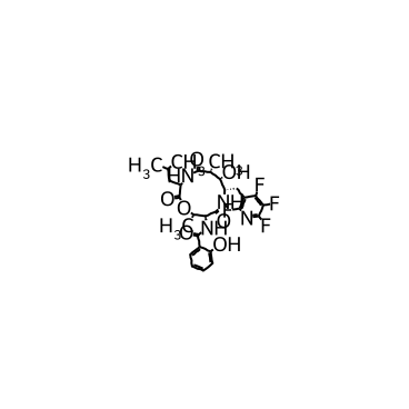 CC(C)CC1NC(=O)[C@H](C)[C@H](O)[C@H](Cc2c(F)nc(F)c(F)c2F)NC(=O)[C@@H](NC(=O)c2ccccc2O)[C@@H](C)OC1=O